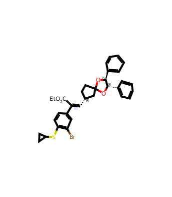 CCOC(=O)/C(=C\[C@@H]1CCC2(C1)O[C@@H](c1ccccc1)[C@H](c1ccccc1)O2)c1ccc(SC2CC2)c(Br)c1